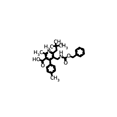 Cc1ccc(-c2c(CNC(=O)OCc3ccccc3)c(CC(C)(C)C)nc(C)c2C(=O)O)cc1